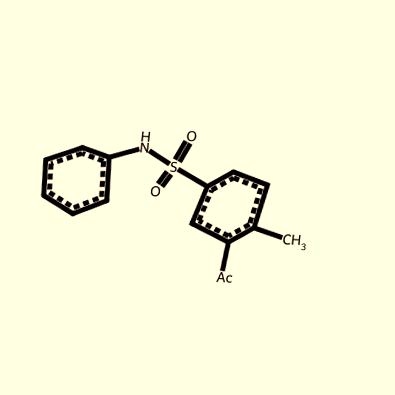 CC(=O)c1cc(S(=O)(=O)Nc2ccccc2)ccc1C